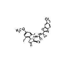 COc1cc(F)c([C@@H]2CNC(=O)[C@H]2NC(=O)NC2(c3nc4ccc(C)cc4o3)CC2)c(F)c1